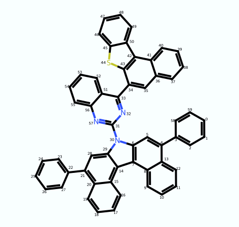 c1ccc(-c2cc3c(c4ccccc24)c2c4ccccc4c(-c4ccccc4)cc2n3-c2nc(-c3cc4ccccc4c4c3sc3ccccc34)c3ccccc3n2)cc1